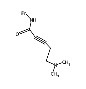 CC(C)NC(=O)C#CCCN(C)C